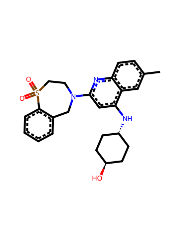 Cc1ccc2nc(N3CCS(=O)(=O)c4ccccc4C3)cc(N[C@H]3CC[C@H](O)CC3)c2c1